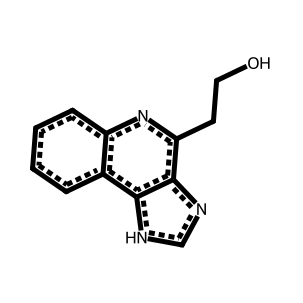 OCCc1nc2ccccc2c2[nH]cnc12